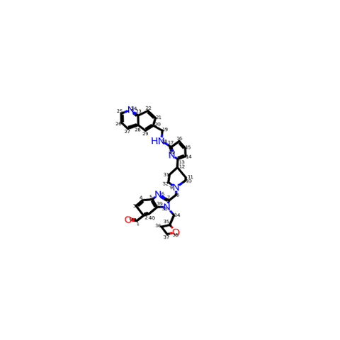 O=Cc1ccc2nc(CN3CCC(c4cccc(NCc5ccc6ncccc6c5)n4)CC3)n(CC3CCO3)c2c1